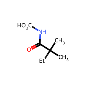 CCC(C)(C)C(=O)NC(=O)O